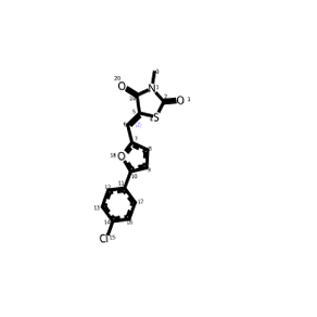 CN1C(=O)S/C(=C\c2ccc(-c3ccc(Cl)cc3)o2)C1=O